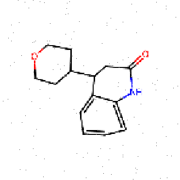 O=C1CC(C2CCOCC2)c2ccccc2N1